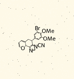 COc1cc(C2CC3=CC=COC3c3ncn(C#N)c32)cc(Br)c1OC